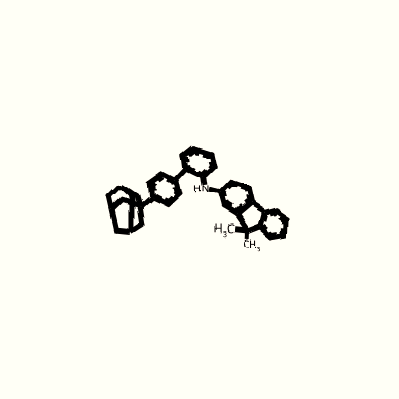 CC1(C)c2ccccc2-c2ccc(Nc3ccccc3-c3ccc(C45CC6CC(CC(C6)C4)C5)cc3)cc21